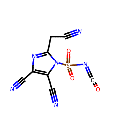 N#CCc1nc(C#N)c(C#N)n1S(=O)(=O)N=C=O